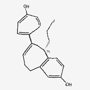 Oc1ccc(C2=CCCc3cc(O)ccc3[C@H]2CCI)cc1